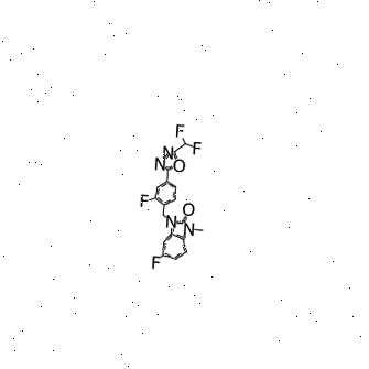 Cn1c(=O)n(Cc2ccc(-c3nnc(C(F)F)o3)cc2F)c2cc(F)ccc21